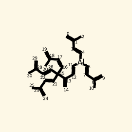 C=C(C)C=[CH][Al]([CH]=CC(=C)C)[CH]=CC(=C)C(C=CC(=C)C)(C=CC(=C)C)C=CC(=C)C